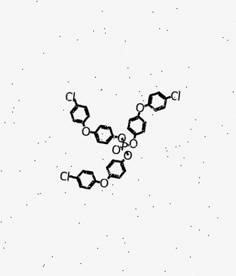 O=P(Oc1ccc(Oc2ccc(Cl)cc2)cc1)(Oc1ccc(Oc2ccc(Cl)cc2)cc1)Oc1ccc(Oc2ccc(Cl)cc2)cc1